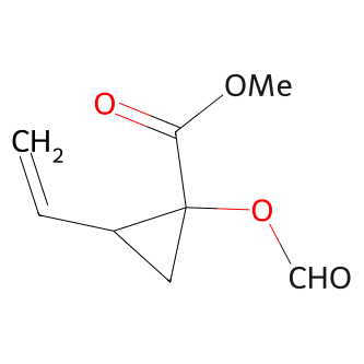 C=CC1CC1(OC=O)C(=O)OC